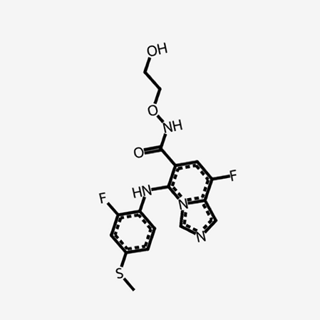 CSc1ccc(Nc2c(C(=O)NOCCO)cc(F)c3cncn23)c(F)c1